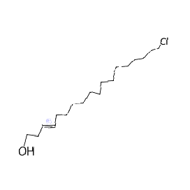 OCC/C=C/CCCCCCCCCCCCCCCl